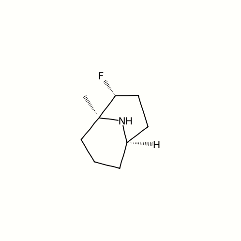 C[C@]12CCC[C@H](CC[C@H]1F)N2